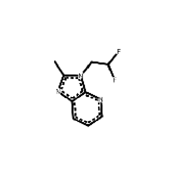 Cc1nc2cccnc2n1CC(F)F